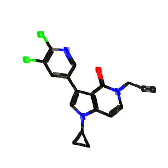 O=CCn1ccc2c(c(-c3cnc(Cl)c(Cl)c3)cn2C2CC2)c1=O